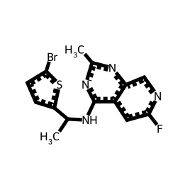 Cc1nc(NC(C)c2ccc(Br)s2)c2cc(F)ncc2n1